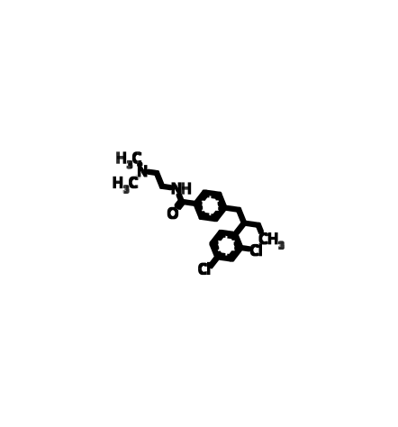 CCC(Cc1ccc(C(=O)NCCN(C)C)cc1)c1ccc(Cl)cc1Cl